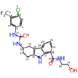 O=C(Nc1ccc(Cl)c(C(F)(F)F)c1)NC1CCc2[nH]c3c(C(=O)NCCO)cccc3c2C1